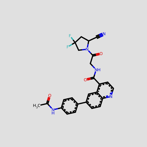 CC(=O)Nc1ccc(-c2ccc3nccc(C(=O)NCC(=O)N4CC(F)(F)CC4C#N)c3c2)cc1